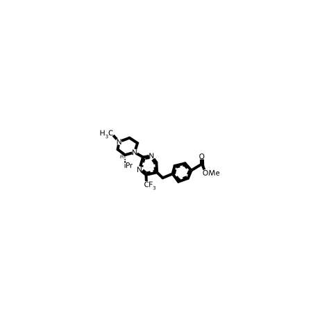 COC(=O)c1ccc(Cc2cnc(N3CCN(C)C[C@H]3C(C)C)nc2C(F)(F)F)cc1